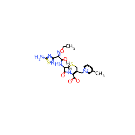 CCO/N=C(\C(=O)NC1C(=O)N2C(C(=O)[O-])=C(C[n+]3cccc(C)c3)CS[C@H]12)c1nsc(N)n1